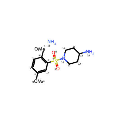 COc1ccc(OC)c(S(=O)(=O)N2CCC(N)CC2)c1.N